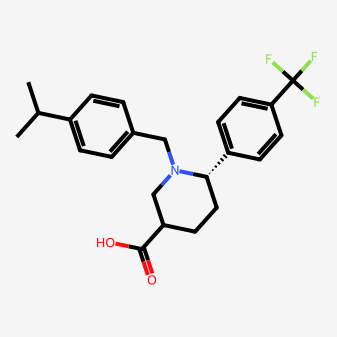 CC(C)c1ccc(CN2CC(C(=O)O)CC[C@H]2c2ccc(C(F)(F)F)cc2)cc1